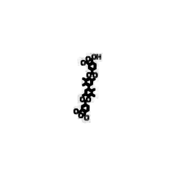 Cc1cc(-c2cc(C)c(OC(=O)c3ccc4c(c3)C(=O)OC4O)c(C)c2C)c(C)c(C)c1OC(=O)c1ccc2c(c1)C(=O)OC2=O